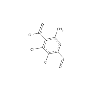 Cc1cc(C=O)c(Cl)c(Cl)c1[N+](=O)[O-]